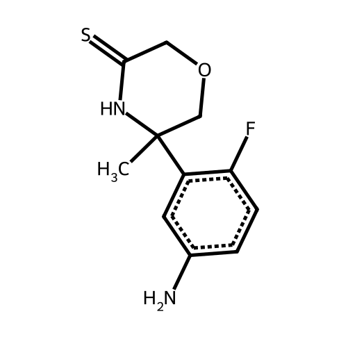 CC1(c2cc(N)ccc2F)COCC(=S)N1